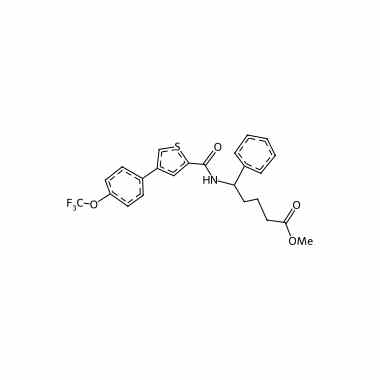 COC(=O)CCCC(NC(=O)c1cc(-c2ccc(OC(F)(F)F)cc2)cs1)c1ccccc1